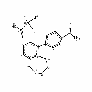 NC(=O)c1ccc(-c2cccc3c2OCCNC3)cc1.O=C(O)C(F)(F)F